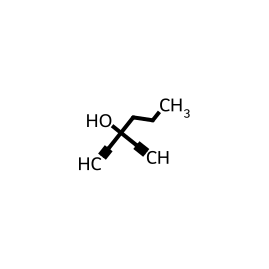 C#CC(O)(C#C)CCC